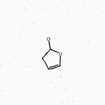 [O]C1CC=CO1